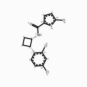 O=C(N[C@H]1CC[C@H]1c1ccc(Cl)cc1Cl)c1ccc(Cl)s1